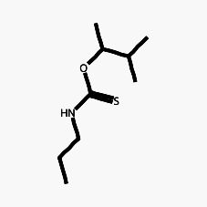 CCCNC(=S)OC(C)C(C)C